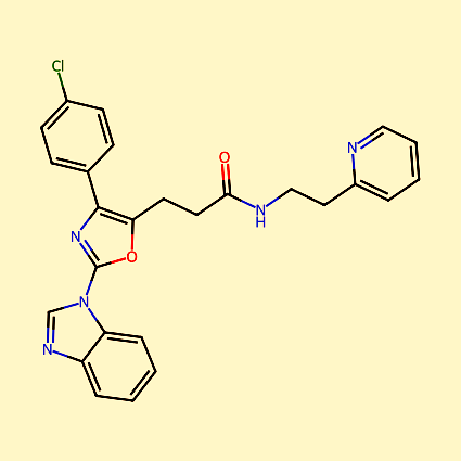 O=C(CCc1oc(-n2cnc3ccccc32)nc1-c1ccc(Cl)cc1)NCCc1ccccn1